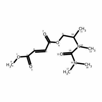 COC(=O)/C=C/C(=O)OCC(C)N(C)C(=O)N(C)C